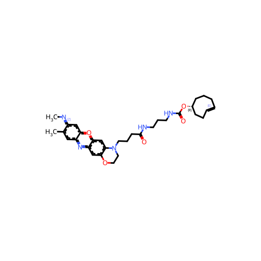 C/N=c1/cc2oc3cc4c(cc3nc-2cc1C)OCCN4CCCC(=O)NCCCNC(=O)O[C@H]1CC/C=C/CCC1